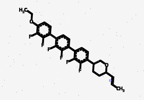 C/C=C/C1CCC(c2ccc(-c3ccc(-c4ccc(OCC)c(F)c4F)c(F)c3F)c(F)c2F)CO1